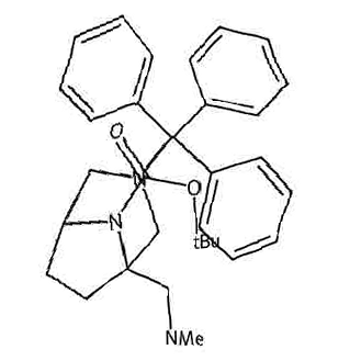 CNCC12CCC(CN(C(c3ccccc3)(c3ccccc3)c3ccccc3)C1)N2C(=O)OC(C)(C)C